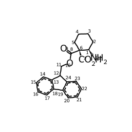 N[C@@H]1CCCC[C@@]1(C(=O)O)C(=O)OCC1c2ccccc2-c2ccccc21